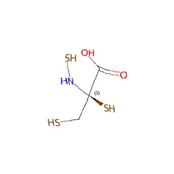 O=C(O)[C@](S)(CS)NS